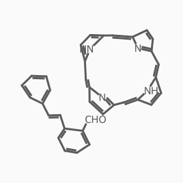 C1=Cc2cc3ccc(cc4nc(cc5ccc(cc1n2)[nH]5)C=C4)[nH]3.O=Cc1ccccc1C=Cc1ccccc1